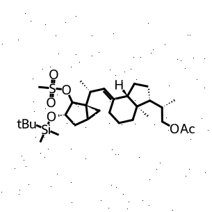 CC(=O)OC[C@@H](C)[C@H]1CC[C@H]2/C(=C/[C@@H](C)[C@]34CC3C[C@H](O[Si](C)(C)C(C)(C)C)C4OS(C)(=O)=O)CCC[C@]12C